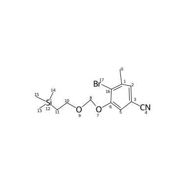 Cc1cc(C#N)cc(OCOCC[Si](C)(C)C)c1Br